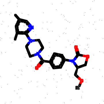 CCOC[C@@H]1COC(=O)N1c1ccc(C(=O)N2CCN(c3ncc(C)cc3C)CC2)cc1